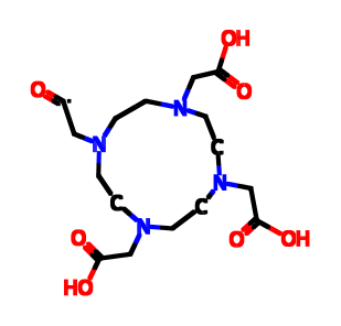 O=[C]CN1CCN(CC(=O)O)CCN(CC(=O)O)CCN(CC(=O)O)CC1